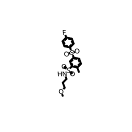 COCCCNS(=O)(=O)c1cc(S(=O)(=O)c2ccc(F)cc2)ccc1C